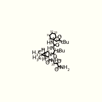 CC(C)(C)C(=O)CC1(NC(=O)N[C@H](C(=O)N2C[C@H]3[C@@H]([C@H]2C(=O)NCC(=O)C(N)=O)C3(C)C)C(C)(C)C)CCCCC1